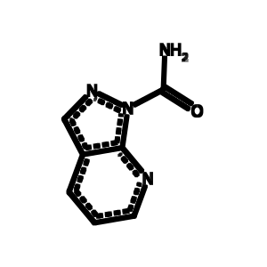 NC(=O)n1ncc2cccnc21